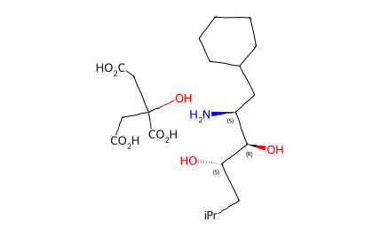 CC(C)C[C@H](O)[C@H](O)[C@@H](N)CC1CCCCC1.O=C(O)CC(O)(CC(=O)O)C(=O)O